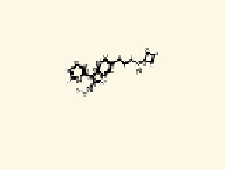 Nc1nn2cc(CCCNC3CCC3)cnc2c1-c1ccccn1